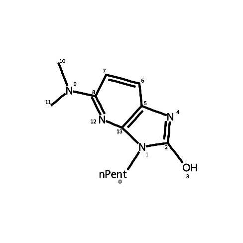 CCCCCn1c(O)nc2ccc(N(C)C)nc21